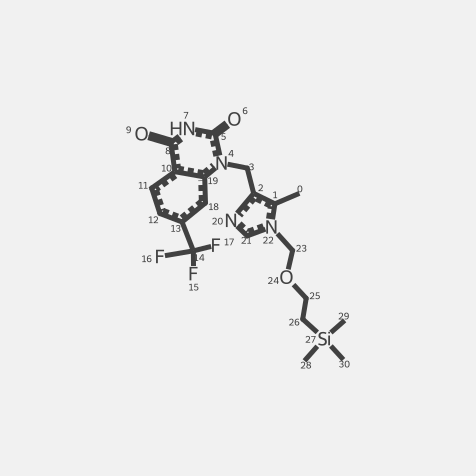 Cc1c(Cn2c(=O)[nH]c(=O)c3ccc(C(F)(F)F)cc32)ncn1COCC[Si](C)(C)C